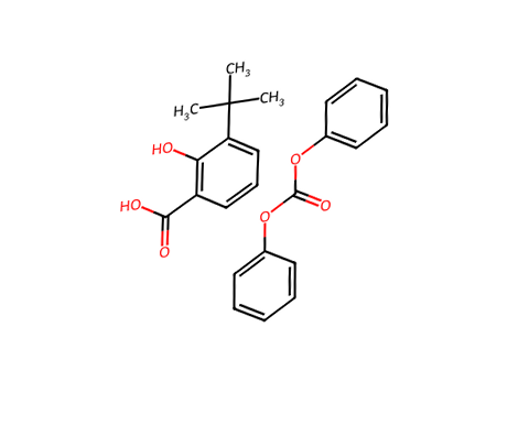 CC(C)(C)c1cccc(C(=O)O)c1O.O=C(Oc1ccccc1)Oc1ccccc1